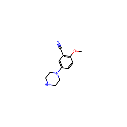 COc1ccc(N2CCNCC2)cc1C#N